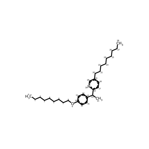 CCCCCCCCCOc1ccc(C(C)c2ccc(CCCCCCCCC)cn2)cc1